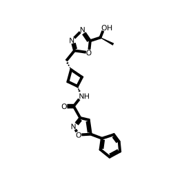 C[C@H](O)c1nnc(C[C@H]2C[C@@H](NC(=O)c3cc(-c4ccccc4)on3)C2)o1